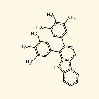 Cc1cc(-c2ccc3c([nH]c4ccccc43)c2-c2cc(C)c(C)c(C)c2)cc(C)c1C